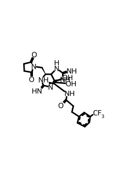 N=C1NC2[C@H](CN3C(=O)CCC3=O)NC(=N)N3CC(NC(=O)CCc4cccc(C(F)(F)F)c4)C(O)(O)C23N1